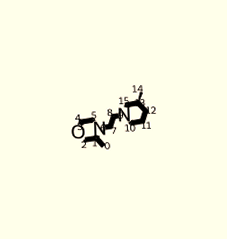 CC1COCCN1CCN1CCC[C@H](C)C1